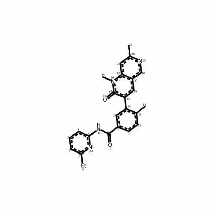 CCc1cccc(NC(=O)c2ccc(C)c(-c3cc4cnc(C)cc4n(C)c3=O)c2)n1